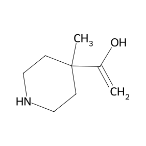 C=C(O)C1(C)CCNCC1